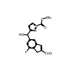 CC(C)(C)OC(=O)n1ccc(C(O)c2cc(F)c3c(c2)C=C(C=O)C3)n1